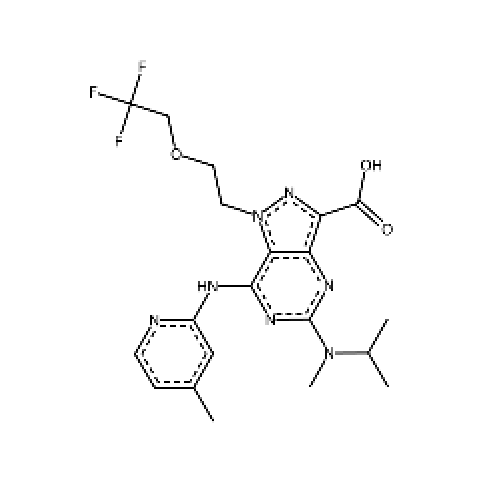 Cc1ccnc(Nc2nc(N(C)C(C)C)nc3c(C(=O)O)nn(CCOCC(F)(F)F)c23)c1